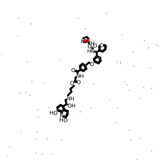 O=C(CNC(=O)c1ccc(COc2cccc(C(NC(=O)O[C@H]3CN4CCC3CC4)c3ccccc3)c2)cc1)OCCCCNC[C@@H](O)c1ccc(O)c2[nH]c(=O)ccc12